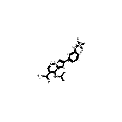 CC(C)Nc1c(C(N)=O)cnn2cc(-c3cccc(NS(C)(=O)=O)c3)cc12